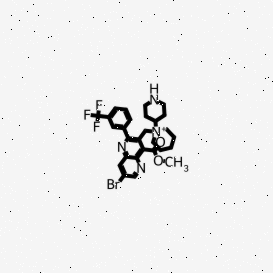 COC(=O)c1c(C[N+]2(C3CCNCC3)CCCCC2)c(-c2cccc(C(F)(F)F)c2)nc2cc(Br)cnc12